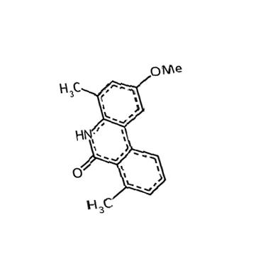 COc1cc(C)c2[nH]c(=O)c3c(C)cccc3c2c1